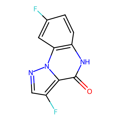 O=c1[nH]c2ccc(F)cc2n2ncc(F)c12